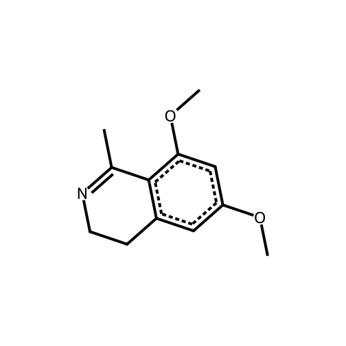 COc1cc2c(c(OC)c1)C(C)=NCC2